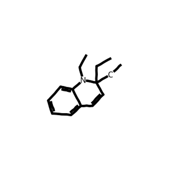 CCN1c2ccccc2C=CC1(CC)CC